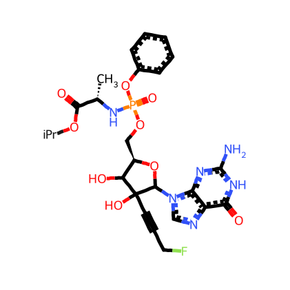 CC(C)OC(=O)[C@H](C)NP(=O)(OC[C@H]1OC(n2cnc3c(=O)[nH]c(N)nc32)C(O)(C#CCF)C1O)Oc1ccccc1